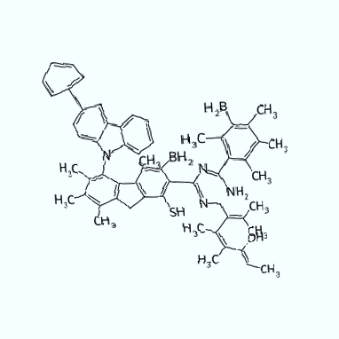 Bc1c(C)c(C)c(C)c(/C(N)=N/C(=N\CC(=C(C)C)/C(C)=C(C)\C(O)=C\C)c2c(B)c(C)c3c(c2S)Cc2c(C)c(C)c(C)c(-n4c5ccccc5c5cc(-c6ccccc6)ccc54)c2-3)c1C